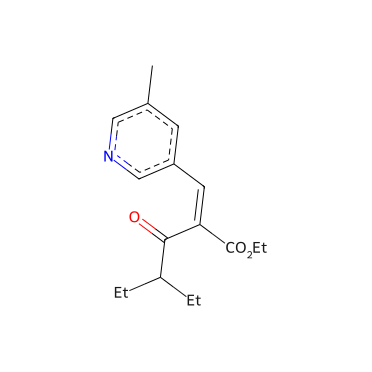 CCOC(=O)C(=Cc1cncc(C)c1)C(=O)C(CC)CC